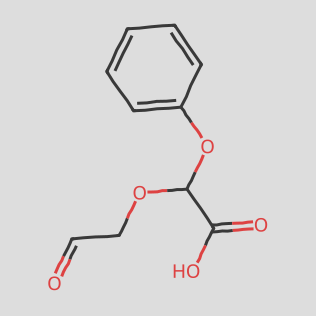 O=CCOC(Oc1ccccc1)C(=O)O